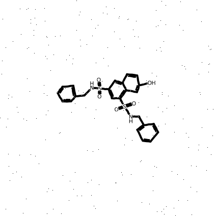 O=S(=O)(NCc1ccccc1)c1cc(S(=O)(=O)NCc2ccccc2)c2cc(O)ccc2c1